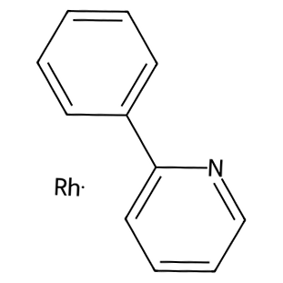 [Rh].c1ccc(-c2ccccn2)cc1